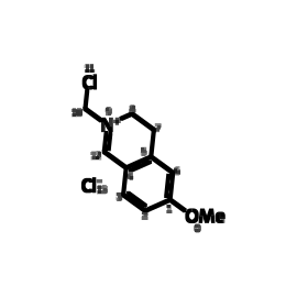 COc1ccc2c(c1)CC[N+](CCl)=C2.[Cl-]